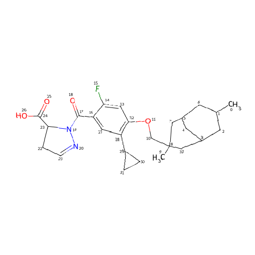 CC1CC2CC(C1)CC(C)(COc1cc(F)c(C(=O)N3N=CCC3C(=O)O)cc1C1CC1)C2